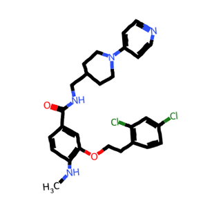 CNc1ccc(C(=O)NCC2CCN(c3ccncc3)CC2)cc1OCCc1ccc(Cl)cc1Cl